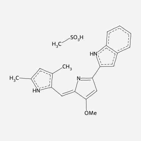 COC1=CC(c2cc3ccccc3[nH]2)=NC1=Cc1[nH]c(C)cc1C.CS(=O)(=O)O